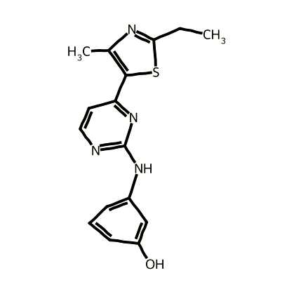 CCc1nc(C)c(-c2ccnc(Nc3cccc(O)c3)n2)s1